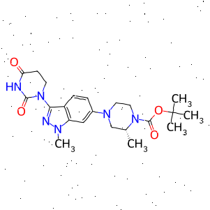 C[C@@H]1CN(c2ccc3c(N4CCC(=O)NC4=O)nn(C)c3c2)CCN1C(=O)OC(C)(C)C